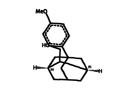 COc1ccc(C23CC4C[C@H](C2)C(CO)[C@@H](C4)C3)cc1